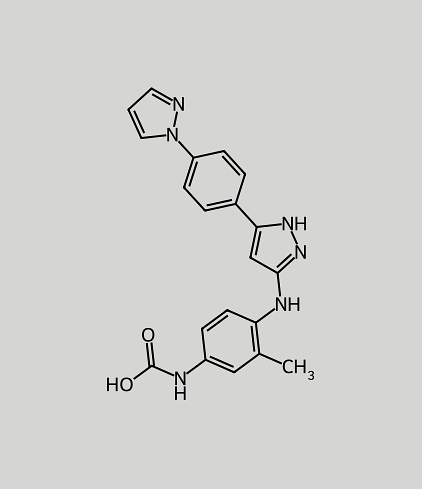 Cc1cc(NC(=O)O)ccc1Nc1cc(-c2ccc(-n3cccn3)cc2)[nH]n1